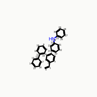 C=Cc1ccccc1.c1ccc(-c2ccccc2)cc1.c1ccc(Nc2ccccc2)cc1